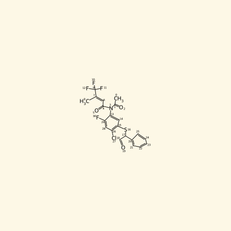 CC(=O)N(C(=O)/C=C(\C)C(F)(F)F)c1cc(SC(C=O)c2ccccc2)c(Cl)cc1F